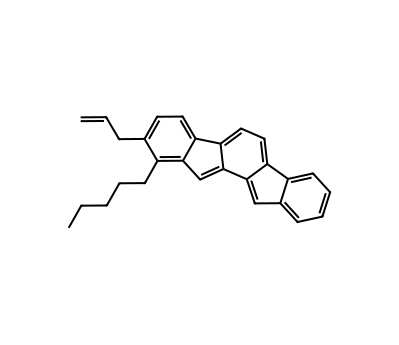 C=CCc1ccc2c(c1CCCCC)C=c1c-2ccc2c1=Cc1ccccc1-2